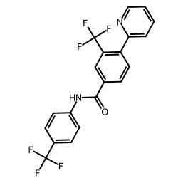 O=C(Nc1ccc(C(F)(F)F)cc1)c1ccc(-c2ccccn2)c(C(F)(F)F)c1